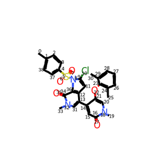 Cc1ccc(S(=O)(=O)n2c(Cl)cc3c(-c4cc(=O)n(C)cc4Oc4c(C)cccc4C)cn(C)c(=O)c32)cc1